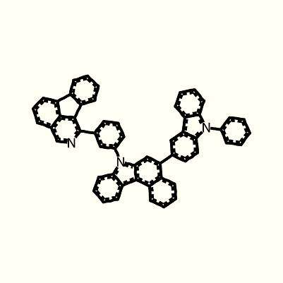 c1ccc(-n2c3ccccc3c3cc(-c4cc5c(c6ccccc46)c4ccccc4n5-c4cccc(-c5ncc6cccc7c6c5-c5ccccc5-7)c4)ccc32)cc1